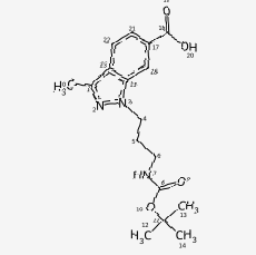 Cc1nn(CCCNC(=O)OC(C)(C)C)c2cc(C(=O)O)ccc12